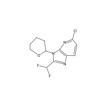 FC(F)c1nc2ccc(Cl)nc2n1C1CCCCO1